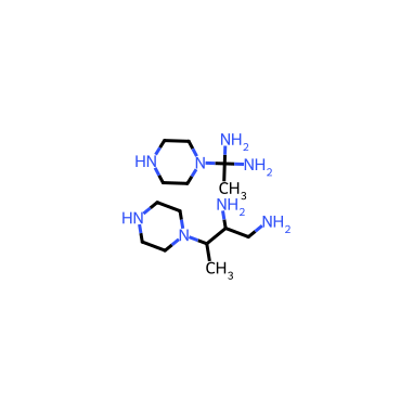 CC(C(N)CN)N1CCNCC1.CC(N)(N)N1CCNCC1